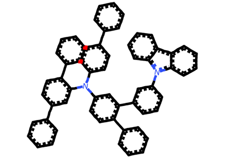 c1ccc(-c2ccc(N(c3ccc(-c4ccccc4)c(-c4cccc(-n5c6ccccc6c6ccccc65)c4)c3)c3cc(-c4ccccc4)ccc3-c3ccccc3)cc2)cc1